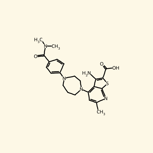 Cc1cc(N2CCCN(c3ccc(C(=O)N(C)C)cc3)CC2)c2c(N)c(C(=O)O)sc2n1